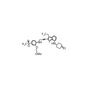 CCN1CCC(Nc2cccc3c(CC(F)(F)F)c(C#CCNc4ccc(S(C)(=O)=O)cc4OCCOC)sc23)CC1